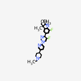 CCN1CCC(c2ccc(N3C=C(F)C(c4cc(F)c5c(c4)C(C)(CC)C(C)=N5)=NC3)nc2)CC1